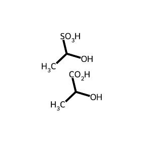 CC(O)C(=O)O.CC(O)S(=O)(=O)O